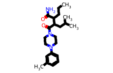 CCCC(C(N)=O)C(CC(C)C)C(=O)N1CCN(c2cccc(C)c2)CC1